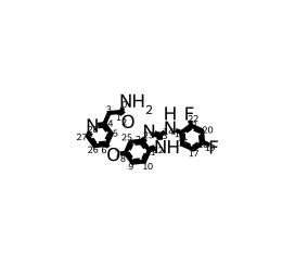 NC(=O)Cc1cc(Oc2ccc3[nH]c(Nc4ccc(F)cc4F)nc3c2)ccn1